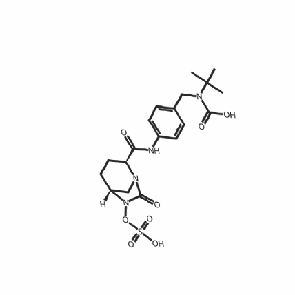 CC(C)(C)N(Cc1ccc(NC(=O)[C@@H]2CC[C@@H]3CN2C(=O)N3OS(=O)(=O)O)cc1)C(=O)O